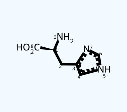 N[C@@H](Cc1c[nH]cn1)C(=[18O])[18OH]